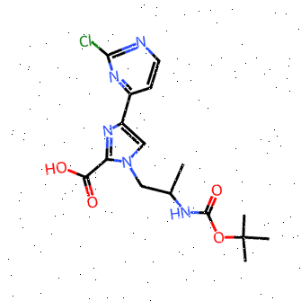 CC(Cn1cc(-c2ccnc(Cl)n2)nc1C(=O)O)NC(=O)OC(C)(C)C